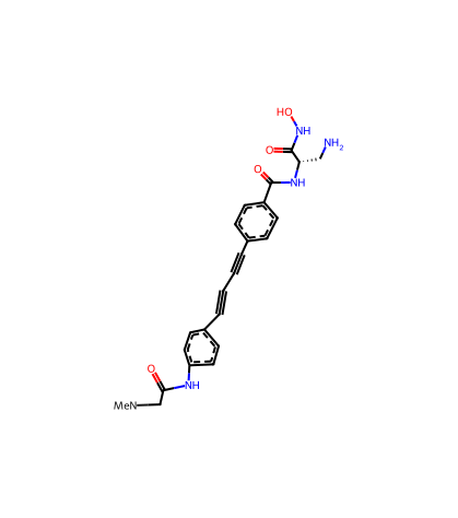 CNCC(=O)Nc1ccc(C#CC#Cc2ccc(C(=O)N[C@@H](CN)C(=O)NO)cc2)cc1